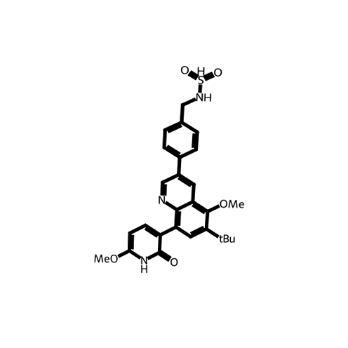 COc1ccc(-c2cc(C(C)(C)C)c(OC)c3cc(-c4ccc(CN[SH](=O)=O)cc4)cnc23)c(=O)[nH]1